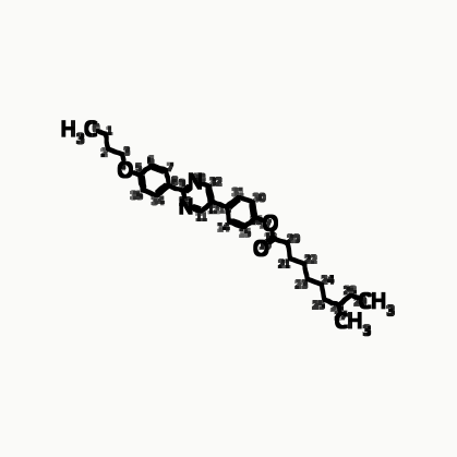 CCCCOc1ccc(-c2ncc(-c3ccc(OC(=O)CCCCCCC(C)CC)cc3)cn2)cc1